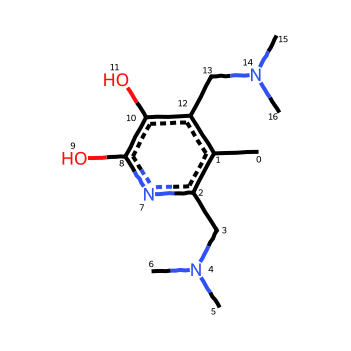 Cc1c(CN(C)C)nc(O)c(O)c1CN(C)C